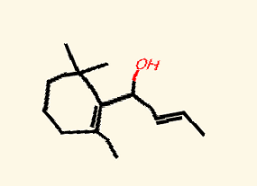 CC=CC(O)C1=C(C)CCCC1(C)C